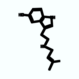 CC(C)=CCNCCc1c[nH]c2ccc(O)cc12